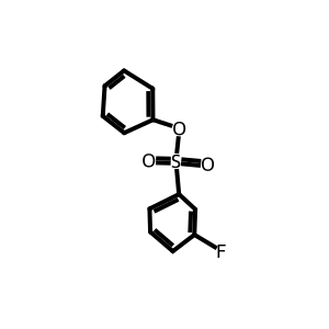 O=S(=O)(Oc1ccccc1)c1cccc(F)c1